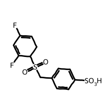 O=S(=O)(O)c1ccc(CS(=O)(=O)C2CC=C(F)C=C2F)cc1